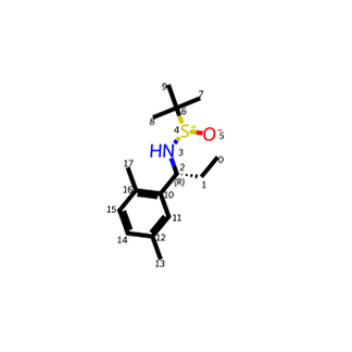 CC[C@@H](N[S+]([O-])C(C)(C)C)c1cc(C)ccc1C